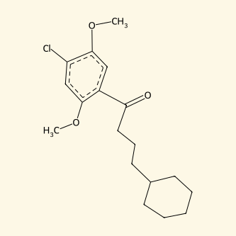 COc1cc(C(=O)CCCC2CCCCC2)c(OC)cc1Cl